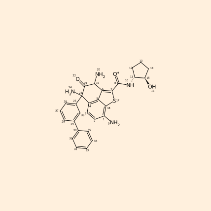 Nc1ccc2c3c(c(C(=O)N[C@@H]4CCC[C@H]4O)sc13)C(N)C(=O)C2(N)c1cccc(-c2ccccc2)c1